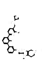 COc1nc(-c2cccc(-c3cccc(NC(=O)c4nc5c(n4C)CCN(C)C5)c3Cl)c2F)ccc1CNC1COC1